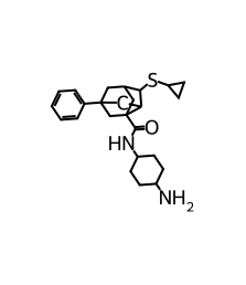 NC1CCC(NC(=O)C23CC4CC(c5ccccc5)(CC2C4SC2CC2)C3)CC1